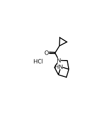 Cl.O=C(C1CC1)N1CC2CC(C1)N2